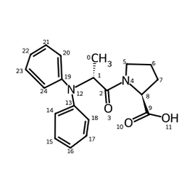 C[C@H](C(=O)N1CCC[C@H]1C(=O)O)N(c1ccccc1)c1ccccc1